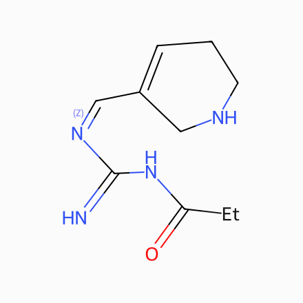 CCC(=O)NC(=N)/N=C\C1=CCCNC1